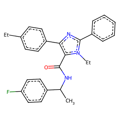 CCc1ccc(-c2nc(-c3ccccc3)n(CC)c2C(=O)NC(C)c2ccc(F)cc2)cc1